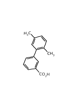 Cc1ccc(C)c(-c2cccc(C(=O)O)c2)c1